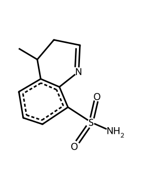 CC1CC=Nc2c1cccc2S(N)(=O)=O